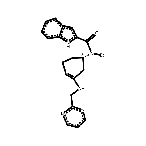 CCN(C(=O)c1cc2ccccc2[nH]1)[C@H]1CCC=C(NCc2ncccn2)C1